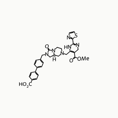 COC(=O)C1=C(CN2CCN3C(=O)N(Cc4ccc(-c5ccc(C(=O)O)cc5)cc4)C[C@@H]3C2)NC(c2nccs2)=NC1